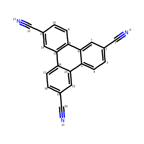 N#Cc1ccc2c(c1)c1ccc(C#N)cc1c1ccc(C#N)cc21